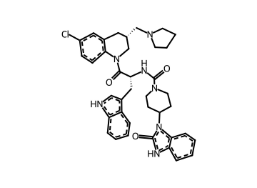 O=C(N[C@H](Cc1c[nH]c2ccccc12)C(=O)N1C[C@@H](CN2CCCC2)Cc2cc(Cl)ccc21)N1CCC(n2c(=O)[nH]c3ccccc32)CC1